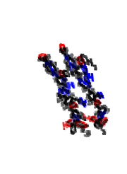 COc1nc(Nc2nccc(-c3ccc(OCC4CCN(C(=O)C(C)O)C4)c(C#N)c3)n2)ccc1N1CCN(C2COC2)CC1.COc1nc(Nc2nccc(-c3ccc(OCC4CCN(C(=O)C(C)O)C4)c(C#N)c3)n2)ccc1N1CCN(C2COC2)CC1